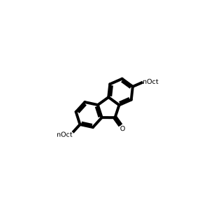 CCCCCCCCc1ccc2c(c1)C(=O)c1cc(CCCCCCCC)ccc1-2